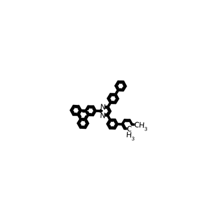 C/C=C(\C=C/CC)c1cccc(-c2cc(-c3ccc(-c4ccccc4)cc3)nc(-c3ccc4c5ccccc5c5ccccc5c4c3)n2)c1